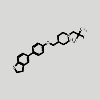 CC(C)(F)CN1CCC(COc2ccc(-c3ccc4c(c3)CCS4)cc2)CC1